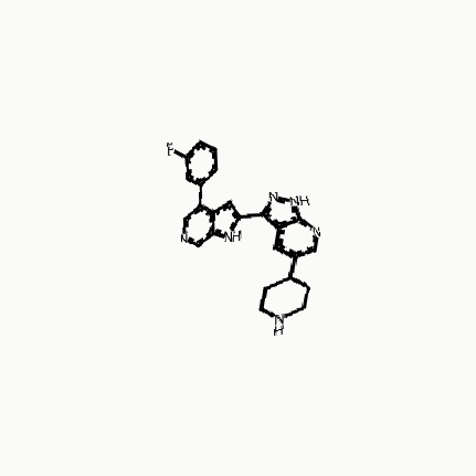 Fc1cccc(-c2cncc3[nH]c(-c4n[nH]c5ncc(C6CCNCC6)cc45)cc23)c1